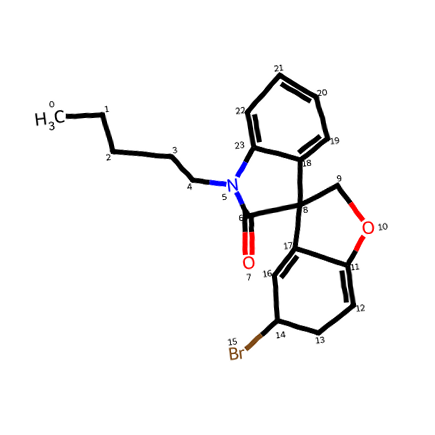 CCCCCN1C(=O)C2(COC3=CCC(Br)C=C32)c2ccccc21